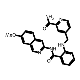 COc1ccc2cc(NC(=O)c3ccccc3NCc3ccnc(C(N)=O)c3)ncc2c1